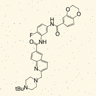 CC(C)(C)N1CCN(Cc2ccc3cc(C(=O)Nc4cc(NC(=O)c5ccc6c(c5)OCCO6)ccc4F)ccc3n2)CC1